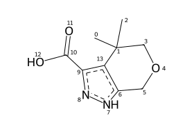 CC1(C)COCc2[nH]nc(C(=O)O)c21